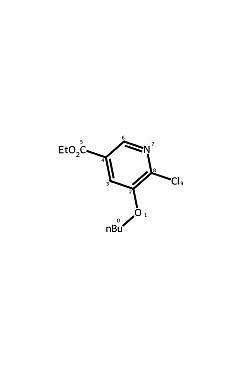 CCCCOc1cc(C(=O)OCC)cnc1Cl